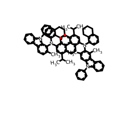 Cc1cc2c(c(C)c1N(c1cccc3c1CCCC3)c1cc(C(C)C)c3ccc4c(N(c5cccc6c5CCCC6)c5c(C)ccc6c7ccccc7n(-c7ccccc7)c56)cc(C(C)C)c5ccc1c3c54)c1ccccc1n2-c1ccccc1